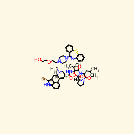 CC(C)C[C@H]1C(=O)N2CCC[C@H]2[C@]2(O)O[C@](NC(=O)[C@@H]3C=C4c5cccc6[nH]c(Br)c(c56)C[C@H]4N(C)C3)(C(C)C)C(=O)N12.OCCOCCN1CCN(C2=Nc3ccccc3Sc3ccccc32)CC1